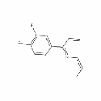 C=C/C(=N\C=C/C)c1ccc(F)c(F)c1